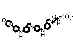 O=C(O)CNC(=O)Cn1ccc2cc(Nc3ccc(-n4ccc5cc(Nc6ccc(N7CCC(O)CC7)cc6)ccc54)cc3)ccc21